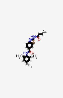 CC(=O)CCC(=O)Nc1nc2ccc(C(=O)Nc3c(C)cc(C)cc3C)cc2s1